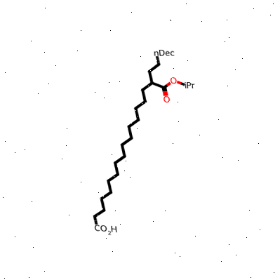 CCCCCCCCCCCCC(CCCCCCCCCCCCCCCC(=O)O)C(=O)OC(C)C